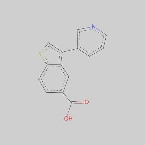 O=C(O)c1ccc2scc(-c3cccnc3)c2c1